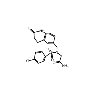 NC(=O)CN(Cc1ccc2c(c1)CCC(=O)N2)S(=O)(=O)c1ccc(Cl)cc1